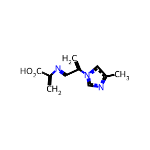 C=C(/N=C/C(=C)n1cnc(C)c1)C(=O)O